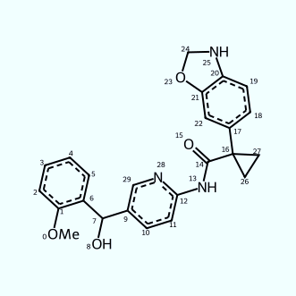 COc1ccccc1C(O)c1ccc(NC(=O)C2(c3ccc4c(c3)OCN4)CC2)nc1